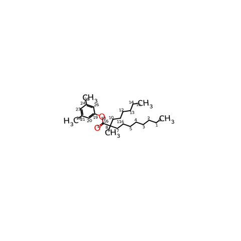 CCCCCCCCC(C)(CCCCCC)C(=O)Oc1cc(C)cc(C)c1